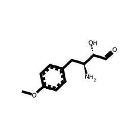 COc1ccc(C[C@H](N)[C@H](O)C=O)cc1